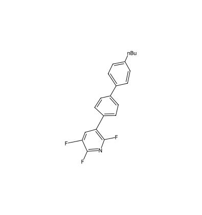 CCCCc1ccc(-c2ccc(-c3cc(F)c(F)nc3F)cc2)cc1